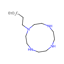 CCOC(=O)CCN1CCNCCNCCNCC1